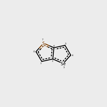 [c]1cc2[se][c]cc2s1